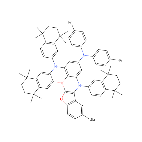 CC(C)c1ccc(N(c2ccc(C(C)C)cc2)c2cc3c4c(c2)N(c2ccc5c(c2)C(C)(C)CCC5(C)C)c2c(oc5ccc(C(C)(C)C)cc25)B4c2cc4c(cc2N3c2ccc3c(c2)C(C)(C)CCC3(C)C)C(C)(C)CCC4(C)C)cc1